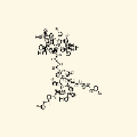 COCCOCCO[C@@H]1[C@@H](OC)[C@@H](OCCCCCO[C@H]2[C@@H](OP(=O)(O)O)[C@H](OC)[C@@H](OC)[C@H](OP(=O)(O)O)[C@H]2OP(=O)(O)O)[C@@H](OC)[C@H](OCCOCCOC)[C@H]1OP(=O)(O)O